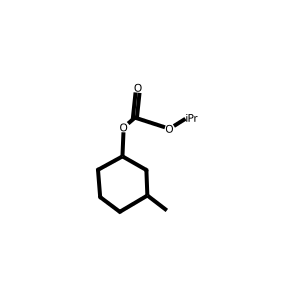 CC1CCCC(OC(=O)OC(C)C)C1